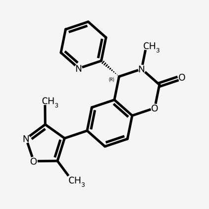 Cc1noc(C)c1-c1ccc2c(c1)[C@H](c1ccccn1)N(C)C(=O)O2